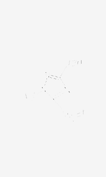 CCOC(=O)c1nc(C(C)(C)C)nn1C